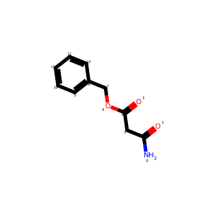 NC(=O)CC(=O)OCc1ccccc1